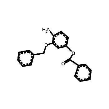 Nc1ccc(OC(=O)c2ccccc2)cc1OCc1ccccc1